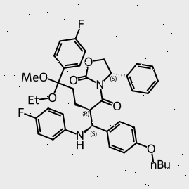 CCCCOc1ccc([C@@H](Nc2ccc(F)cc2)[C@@H](CCC(OC)(OCC)c2ccc(F)cc2)C(=O)N2C(=O)OC[C@@H]2c2ccccc2)cc1